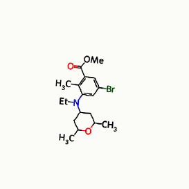 CCN(c1cc(Br)cc(C(=O)OC)c1C)C1CC(C)OC(C)C1